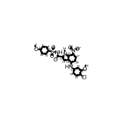 COc1ccc(S(=O)(=O)NC(=O)c2cc3c(Nc4ccc(Cl)c(OC)c4)ccc([N+](=O)[O-])c3n2C)cc1